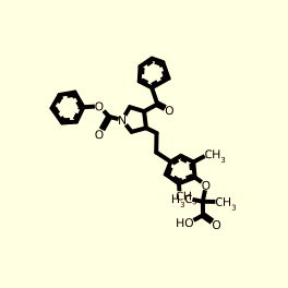 Cc1cc(CCC2CN(C(=O)Oc3ccccc3)CC2C(=O)c2ccccc2)cc(C)c1OC(C)(C)C(=O)O